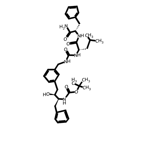 CC(C)C[C@H](NC(=O)NCc1cccc(C[C@H](O)[C@H](Cc2ccccc2)NC(=O)OC(C)(C)C)c1)C(=O)N[C@@H](Cc1ccccc1)C(N)=O